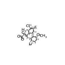 COc1cccc(CN(c2ccc(F)c(Cl)c2)[C@@H](C)C(=O)[O-])c1.[Li+]